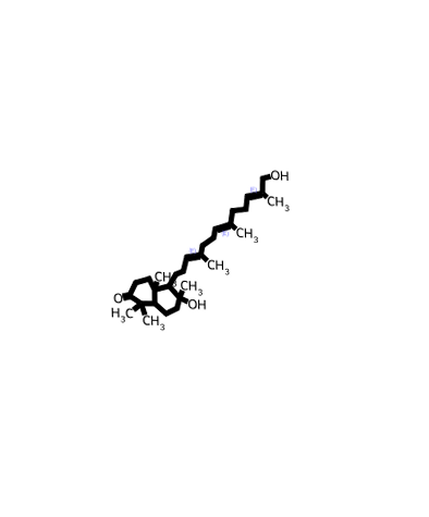 C/C(=C\CC/C(C)=C/CC/C(C)=C/CCC1C(C)(O)CCC2C(C)(C)C(=O)CCC12C)CO